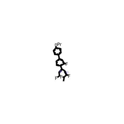 CCCc1ccc(-c2ccc(C(=C/CF)/C=C(/F)C(C)F)c(F)c2)cc1